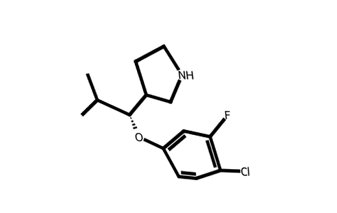 CC(C)[C@@H](Oc1ccc(Cl)c(F)c1)C1CCNC1